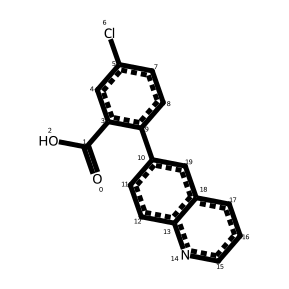 O=C(O)c1cc(Cl)ccc1-c1ccc2ncccc2c1